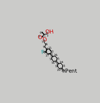 C=C(CO)C(=O)OCCCc1ccc(C2CCC(C3CCC(CCCCC)CC3)CC2)cc1F